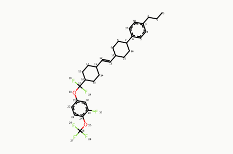 CCCc1ccc(C2CCC(/C=C/C3CCC(C(F)(F)Oc4ccc(OC(F)(F)F)c(F)c4)CC3)CC2)cc1